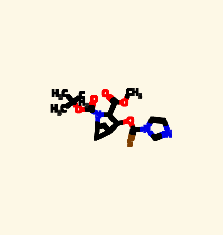 COC(=O)C1C(OC(=S)n2ccnc2)C2CC(C2)N1C(=O)OC(C)(C)C